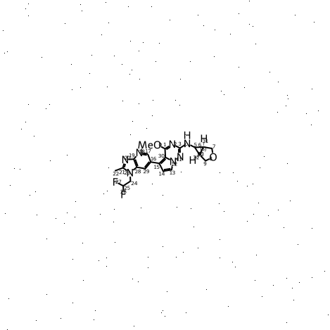 COc1nc(NC2[C@H]3COC[C@@H]23)nn2ccc(-c3cnc4nc(C)n(CC(F)F)c4c3)c12